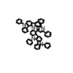 c1ccc(-c2cc(-c3c(-n4c5ccccc5c5ccc6c(c7ccccc7n6-c6ccccc6)c54)ccc4c3c3ccc5c(c6ccccc6n5-c5ccccc5)c3n4-c3ccccc3)nc(-c3ccccc3)n2)cc1